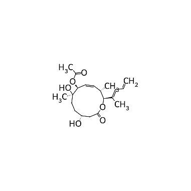 C=CC=C(C)[C@H]1OC(=O)C[C@H](O)CC[C@@](C)(O)[C@@H](OC(C)=O)C=C[C@@H]1C